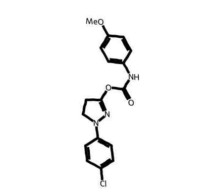 COc1ccc(NC(=O)OC2=NN(c3ccc(Cl)cc3)CC2)cc1